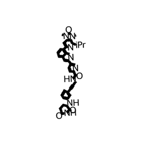 CC(C)c1nc(-c2cccc3cc(-c4ccc(C(=O)NCC#Cc5cccc(NC6CCC(=O)NC6=O)c5)nc4)ncc23)cc2c1n(C)c(=O)n2C